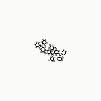 c1ccc(N(c2ccccc2)c2cc(N(c3ccccc3)c3ccc4c(c3)sc3ccc(N(c5ccccc5)c5ccccc5)cc34)c3c(c2)sc2ccccc23)cc1